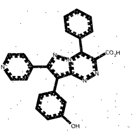 O=C(O)c1nnc2c(-c3cccc(O)c3)c(-c3ccncc3)nn2c1-c1ccccc1